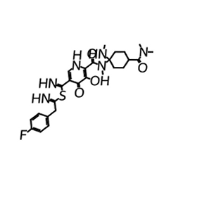 CNC1(N(C)C(=O)c2[nH]cc(C(=N)SC(=N)Cc3ccc(F)cc3)c(=O)c2O)CCC(C(=O)N(C)C)CC1